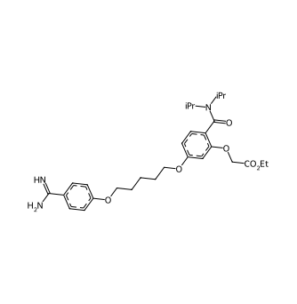 CCOC(=O)COc1cc(OCCCCCOc2ccc(C(=N)N)cc2)ccc1C(=O)N(C(C)C)C(C)C